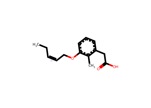 CC/C=C\COc1cccc(CC(=O)O)c1C